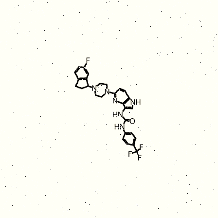 O=C(Nc1ccc(C(F)(F)F)cc1)Nc1c[nH]c2ccc(N3CCN(C4CCc5ccc(F)cc54)CC3)nc12